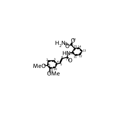 COc1ccc(/C=C/C(=O)Nc2ccccc2C(=O)ON)cc1OC